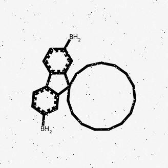 Bc1ccc2c(c1)C1(CCCCCCCCCCCCCC1)c1cc(B)ccc1-2